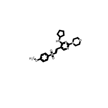 COc1ccc(S(=O)(=O)C=Cc2cnc(N3CCOCC3)nc2NC2CCCC2)cc1